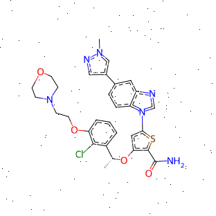 C[C@@H](Oc1cc(-n2cnc3cc(-c4cnn(C)c4)ccc32)sc1C(N)=O)c1cccc(OCCN2CCOCC2)c1Cl